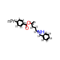 CCCc1ccc(C(=O)OC(C)CCCNCc2ccccc2)cc1